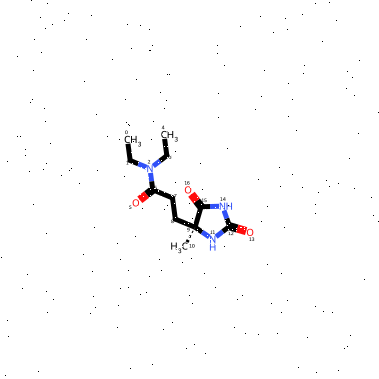 CCN(CC)C(=O)CC[C@]1(C)NC(=O)NC1=O